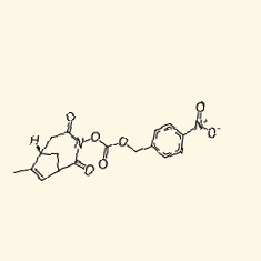 CC1=CC2C[C@H]1CC(=O)N(OC(=O)OCc1ccc([N+](=O)[O-])cc1)C2=O